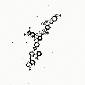 COc1nc2[nH]cc(F)c2cc1Oc1cc(N2CCC3(CC2)CC(N2CCN(Cc4ccnc5c4OCCN5)C[C@H]2c2ccccc2C(C)C)C3)ccc1C(=O)NS(=O)(=O)c1cnc(NCC2CCC(C)(O)CC2)c([N+](=O)[O-])c1